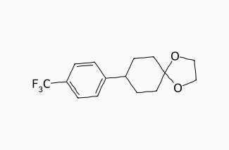 FC(F)(F)c1ccc(C2CCC3(CC2)OCCO3)cc1